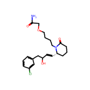 NC(=O)COCCCCN1C(=O)CCC[C@@H]1C=CC(O)Cc1cccc(Cl)c1